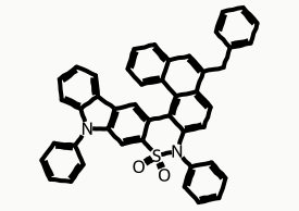 O=S1(=O)c2cc3c(cc2-c2c(ccc4c(Cc5ccccc5)cc5ccccc5c24)N1c1ccccc1)c1ccccc1n3-c1ccccc1